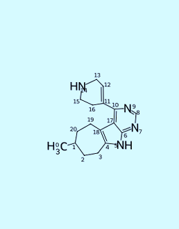 CC1CCc2[nH]c3ncnc(C4=CCNCC4)c3c2CC1